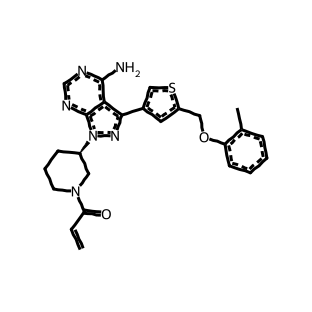 C=CC(=O)N1CCC[C@@H](n2nc(-c3csc(COc4ccccc4C)c3)c3c(N)ncnc32)C1